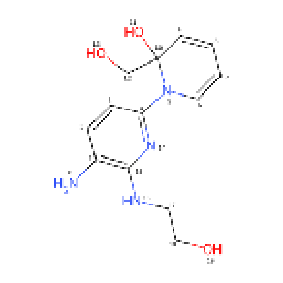 Nc1ccc(N2C=CC=CC2(O)CO)nc1NCCO